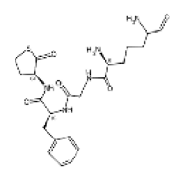 NC(C=O)CCC[C@H](N)C(=O)NCC(=O)N[C@@H](Cc1ccccc1)C(=O)N[C@H]1CCSC1=O